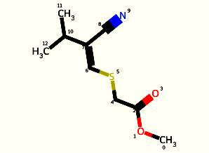 COC(=O)CSC=C(C#N)C(C)C